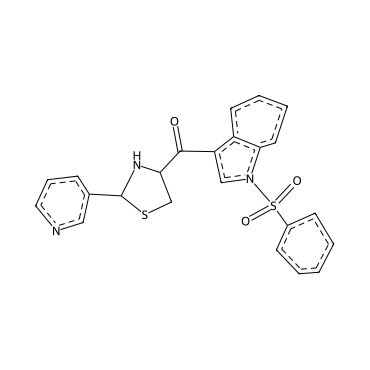 O=C(c1cn(S(=O)(=O)c2ccccc2)c2ccccc12)C1CSC(c2cccnc2)N1